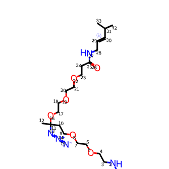 CCNCCOCCOCCC(C)(N=[N+]=[N-])OCCOCCOCCC(=O)NC/C=C/C(C)C